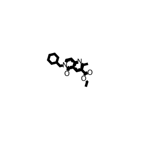 CCOC(=O)c1cc2c(=O)n(CC3CCCCC3)ccc2nc1C